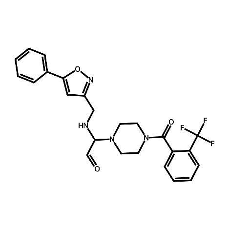 O=CC(NCc1cc(-c2ccccc2)on1)N1CCN(C(=O)c2ccccc2C(F)(F)F)CC1